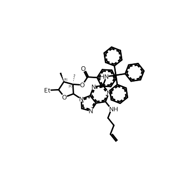 C=CCCNc1nc(NC(c2ccccc2)(c2ccccc2)c2ccccc2)nc2c1ncn2C1OC(CC)[C@@H](C)[C@@]1(C)OC(=O)c1ccccc1